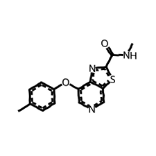 CNC(=O)c1nc2c(Oc3ccc(C)cc3)cncc2s1